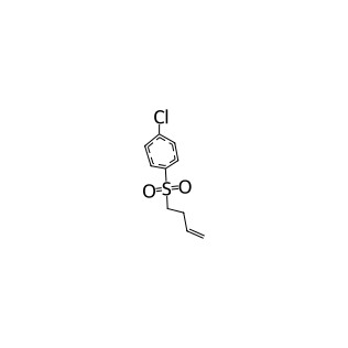 C=CCCS(=O)(=O)c1ccc(Cl)cc1